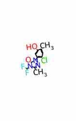 Cc1cc(Cl)c(-n2nc(C)n(C(F)F)c2=O)cc1O